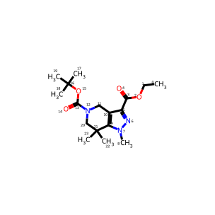 CCOC(=O)c1nn(C)c2c1CN(C(=O)OC(C)(C)C)CC2(C)C